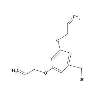 C=CCOc1cc(CBr)cc(OCC=C)c1